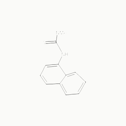 CNC(=S)Nc1cccc2ccccc12